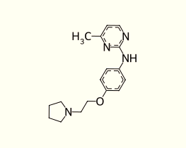 Cc1ccnc(Nc2ccc(OCCN3CCCC3)cc2)n1